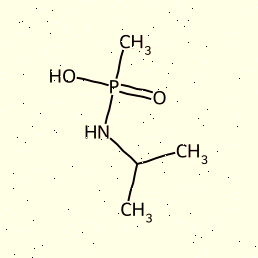 CC(C)NP(C)(=O)O